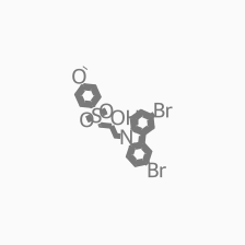 COc1ccc(S(=O)(=O)CC(O)Cn2c3ccc(Br)cc3c3cc(Br)ccc32)cc1